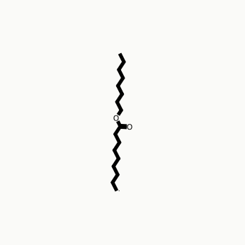 [CH2]CCCCCCCC(=O)OCCCCCCCC